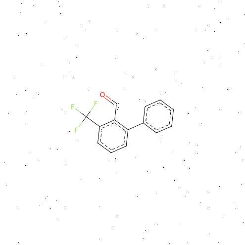 O=[C]c1c(-c2ccccc2)cccc1C(F)(F)F